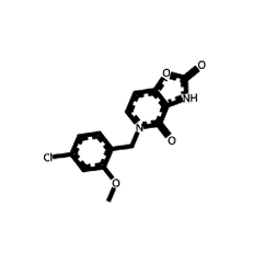 COc1cc(Cl)ccc1Cn1ccc2oc(=O)[nH]c2c1=O